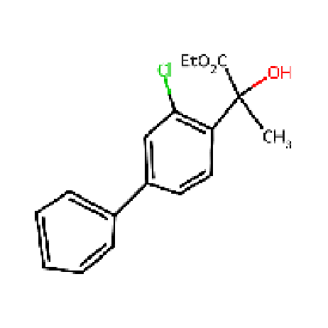 CCOC(=O)C(C)(O)c1ccc(-c2ccccc2)cc1Cl